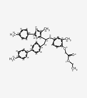 CCOC(=O)COc1ccc(SC(Cc2ccc(-c3ccc(C)cc3)cc2)c2sc(-c3ccc(C)cc3)nc2C)cc1C